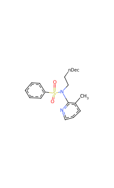 CCCCCCCCCCCCN(c1ncccc1C)S(=O)(=O)c1ccccc1